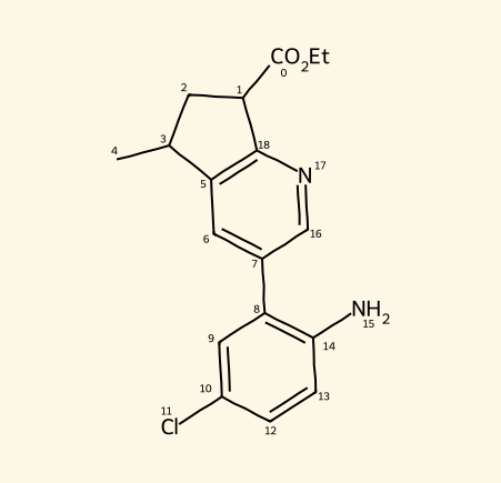 CCOC(=O)C1CC(C)c2cc(-c3cc(Cl)ccc3N)cnc21